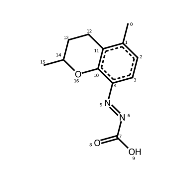 Cc1ccc(N=NC(=O)O)c2c1CCC(C)O2